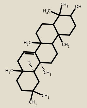 CC1(C)CCC2(C)CC=C3C4(C)CCC5C(C)(C)C(O)CCC5(C)C4CC[C@@]3(C)[C@H]2C1